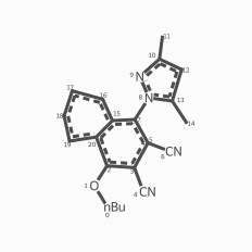 CCCCOc1c(C#N)c(C#N)c(-n2nc(C)cc2C)c2ccccc12